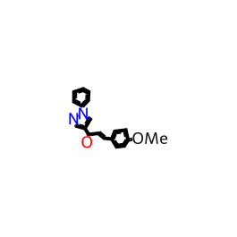 COc1ccc(C=CC(=O)c2cnn(-c3ccccc3)c2)cc1